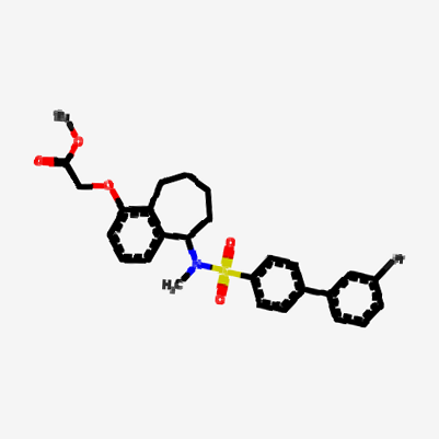 CC(C)c1cccc(-c2ccc(S(=O)(=O)N(C)C3CCCCc4c(OCC(=O)OC(C)(C)C)cccc43)cc2)c1